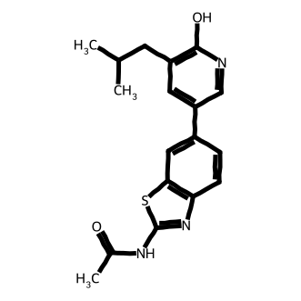 CC(=O)Nc1nc2ccc(-c3cnc(O)c(CC(C)C)c3)cc2s1